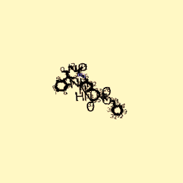 CC(c1c[nH]c2ccccc12)N(C)C(=O)/C=C/c1cnc2c(c1)CN(C(=O)OCc1ccccc1)CC(=O)N2